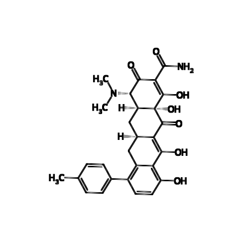 Cc1ccc(-c2ccc(O)c3c2C[C@H]2C[C@H]4[C@H](N(C)C)C(=O)C(C(N)=O)=C(O)[C@@]4(O)C(=O)C2=C3O)cc1